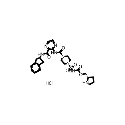 Cl.O=C(NS(=O)(=O)N1CCN(C(=O)Nc2nccnc2C(=O)NC2Cc3ccccc3C2)CC1)OC[C@@H]1CCCN1